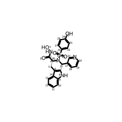 O=C(NO)[C@@H](Cc1c[nH]c2ccccc12)N(Cc1cccnc1)S(=O)(=O)c1ccc(O)cc1